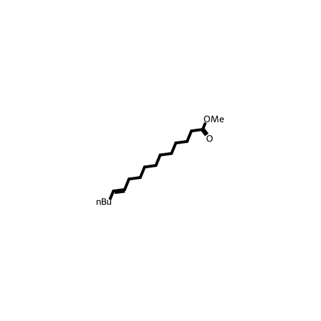 CCCC/C=C/CCCCCCCCCC(=O)OC